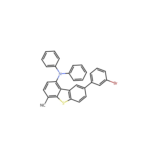 N#Cc1ccc(N(c2ccccc2)c2ccccc2)c2c1sc1ccc(-c3cccc(Br)c3)cc12